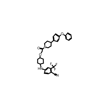 N#Cc1ccc(NC2CCC(OCC(=O)N3CCC(c4ccc(Oc5ccccc5)cc4)CC3)CC2)cc1C(F)(F)F